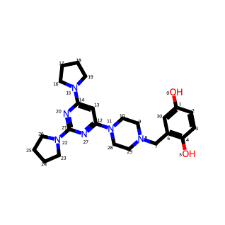 Oc1ccc(O)c(CN2CCN(c3cc(N4CCCC4)nc(N4CCCC4)n3)CC2)c1